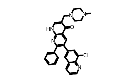 CN1CCN(Cc2c[nH]c3nc(-c4ccccc4)c(-c4cc(Cl)c5ncccc5c4)cc3c2=O)CC1